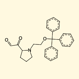 O=CC(=O)C1CCCN1CCOC(c1ccccc1)(c1ccccc1)c1ccccc1